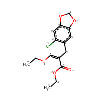 CCOC=C(Cc1cc2c(cc1Cl)OCO2)C(=O)OCC